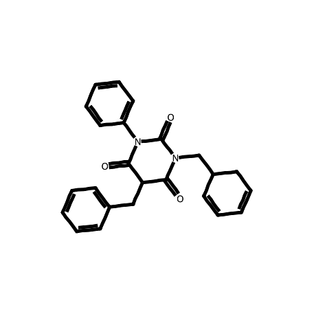 O=C1C(Cc2ccccc2)C(=O)N(c2ccccc2)C(=O)N1CC1C=CC=CC1